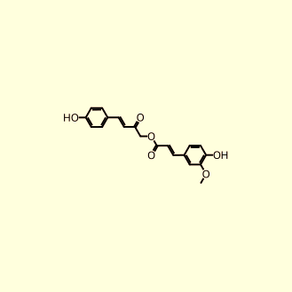 COc1cc(C=CC(=O)OCC(=O)C=Cc2ccc(O)cc2)ccc1O